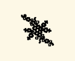 C=CC(=O)Oc1ccc(OC(=O)C(CCC)N2C(=O)c3cc(Oc4ccc(C(C)(C)C)cc4)c4c5c(Oc6ccc(C(C)(C)C)cc6)cc6c7c(cc(Oc8ccc(C(C)(C)C)cc8)c(c8c(Oc9ccc(C(C)(C)C)cc9)cc(c3c48)C2=O)c75)C(=O)N(C(CCC)C(=O)Oc2ccc(OC(=O)C=C)cc2)C6=O)cc1